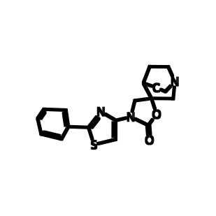 O=C1OC2(CN3CCC2CC3)CN1c1csc(-c2ccccc2)n1